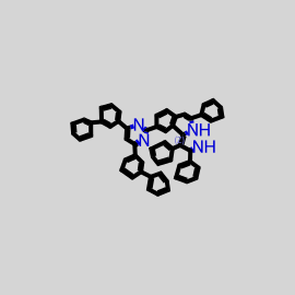 N=C(/C(=C1\NC(c2ccccc2)=Cc2ccc(-c3nc(-c4cccc(-c5ccccc5)c4)cc(-c4cccc(-c5ccccc5)c4)n3)cc21)c1ccccc1)c1ccccc1